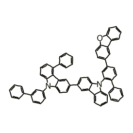 c1ccc(-c2cccc(-n3c4ccc(-c5ccc6c(c5)c5ccccc5n6-c5cc(-c6ccc7oc8ccccc8c7c6)ccc5-c5ccccc5)cc4c4c(-c5ccccc5)cccc43)c2)cc1